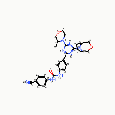 CC1COCCN1c1nc(-c2ccc(NC(=O)Nc3ccc(C#N)cc3)cc2)nc(N2C3CCC2COC3)n1